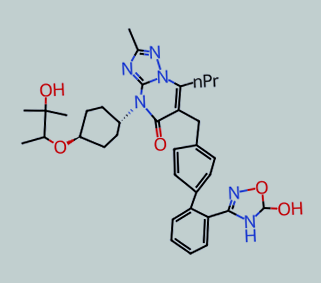 CCCc1c(Cc2ccc(-c3ccccc3C3=NOC(O)N3)cc2)c(=O)n([C@H]2CC[C@H](OC(C)C(C)(C)O)CC2)c2nc(C)nn12